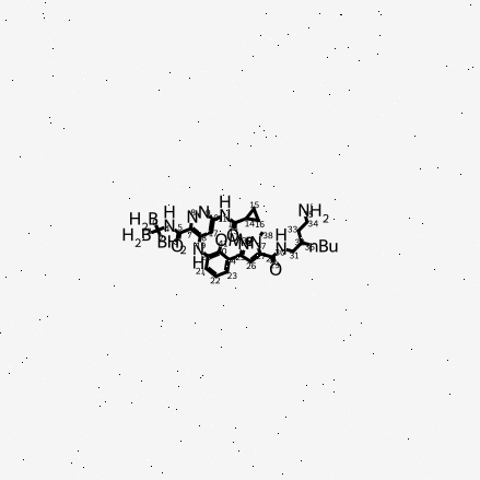 BC(B)(B)NC(=O)c1nnc(NC(=O)C2CC2)cc1Nc1cccc(-c2cc(C(=O)NCC(CCN)CCCC)n(C)n2)c1OC